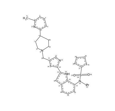 Cc1cccc(C2CCN(Cc3cnc(-c4cc5cccc(N(C(C)C)S(=O)(=O)c6cccs6)c5[nH]4)s3)CC2)n1